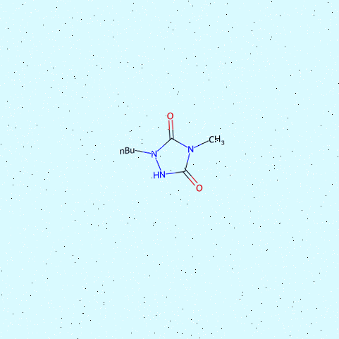 CCCCn1[nH]c(=O)n(C)c1=O